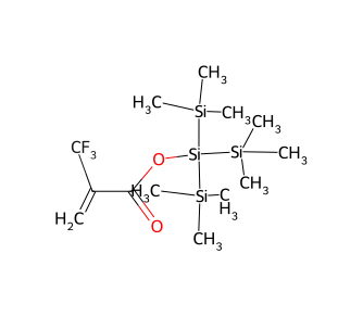 C=C(C(=O)O[Si]([Si](C)(C)C)([Si](C)(C)C)[Si](C)(C)C)C(F)(F)F